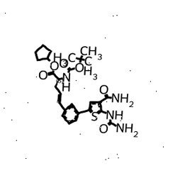 CC(C)(C)OC(=O)N[C@@H](CC=Cc1cccc(-c2cc(C(N)=O)c(NC(N)=O)s2)c1)C(=O)OC1CCCC1